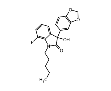 CCCCCN1C(=O)C(O)(c2ccc3c(c2)OCO3)c2cccc(F)c21